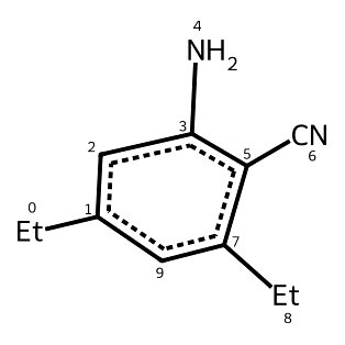 CCc1cc(N)c(C#N)c(CC)c1